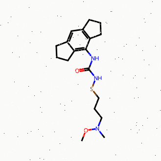 CON(C)CCCSNC(=O)Nc1c2c(cc3c1CCC3)CCC2